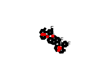 Cc1cccc(C)c1-c1cc(F)cc(F)c1N(c1ccccc1)c1ccc2ccc3c(N(c4ccccc4)c4c(F)cc(F)cc4-c4c(C)cccc4C)ccc4ccc1c2c43